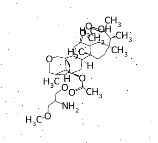 COCC(N)CO[C@H]1[C@H](OC(C)=O)C[C@]23COC[C@@]1(C)[C@@H]2CC[C@H]1C3=CC(=O)[C@@]2(C)[C@H](C(=O)O)[C@@](C)([C@H](C)C(C)C)CC[C@]12C